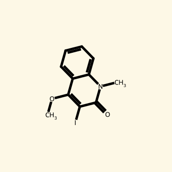 COc1c(I)c(=O)n(C)c2ccccc12